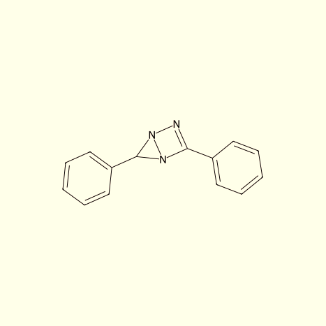 c1ccc(-c2nn3n2C3c2ccccc2)cc1